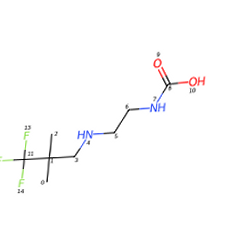 CC(C)(CNCCNC(=O)O)C(F)(F)F